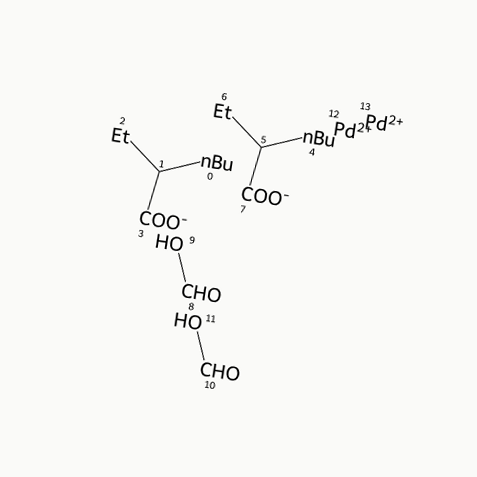 CCCCC(CC)C(=O)[O-].CCCCC(CC)C(=O)[O-].O=[C-]O.O=[C-]O.[Pd+2].[Pd+2]